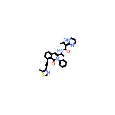 Cc1nn2cccnc2c1C(=O)NC(C)c1cc2cccc(C#Cc3ncsc3C)c2c(=O)n1-c1ccccc1